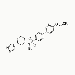 CCN([C@H]1CCC[C@@H](n2cnnc2)C1)S(=O)(=O)c1ccc(-c2ccc(OCC(F)(F)F)nc2)cc1